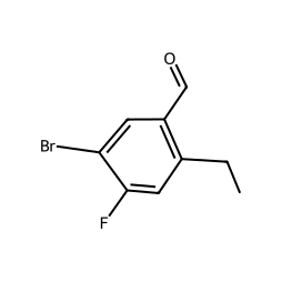 CCc1cc(F)c(Br)cc1C=O